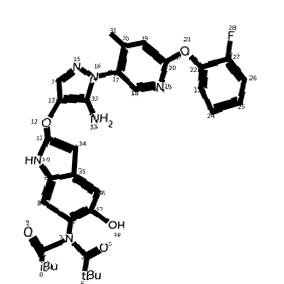 CCC(C)C(=O)N(C(=O)C(C)(C)C)c1cc2[nH]c(Oc3cnn(-c4cnc(Oc5ccccc5F)cc4C)c3N)cc2cc1O